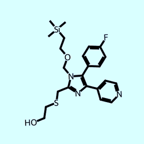 C[Si](C)(C)CCOCn1c(CSCCO)nc(-c2ccncc2)c1-c1ccc(F)cc1